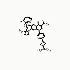 CN(C)C1CN(c2ccc(-n3cc(C(=O)O)c(=O)c4cc(C#N)c(N5CCCC5(C)COc5ncccc5F)cc43)cn2)C1